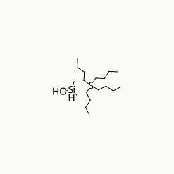 CCCCS(CCCC)(CCCC)CCCC.C[SiH](C)O